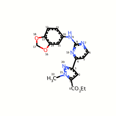 CCOC(=O)c1cc(-c2ccnc(Nc3ccc4c(c3)OCO4)n2)nn1C